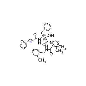 Cc1ccccc1CNC(=O)[C@H]1N(C(=O)[C@@H](O)[C@H](Cc2ccccc2)NC(=O)/C=C/c2ccco2)CSC1(C)C